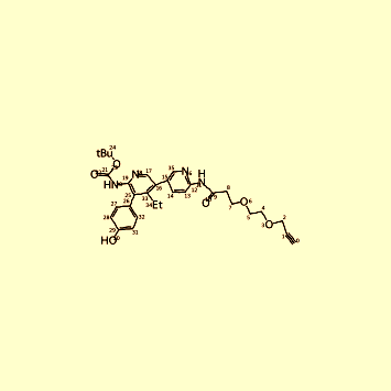 C#CCOCCOCCC(=O)Nc1ccc(-c2cnc(NC(=O)OC(C)(C)C)c(-c3ccc(O)cc3)c2CC)cn1